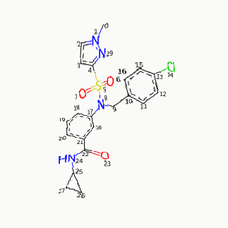 Cn1ccc(S(=O)(=O)N(Cc2ccc(Cl)cc2)c2cccc(C(=O)NC3CC3)c2)n1